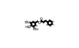 CC(C)(C)c1cc(COC(=O)C=Cc2ccccc2)cc(C(C)(C)C)c1O